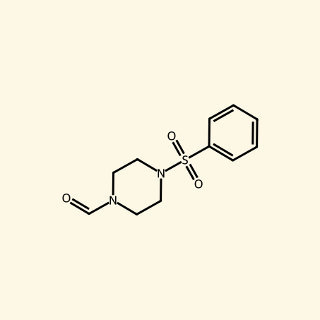 O=CN1CCN(S(=O)(=O)c2ccccc2)CC1